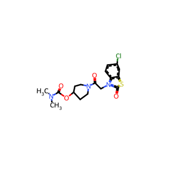 CN(C)C(=O)OC1CCN(C(=O)Cn2c(=O)sc3cc(Cl)ccc32)CC1